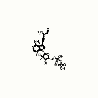 C[C@@]1(O)[C@H](O)[C@@H](COP(=O)(O)OP(=O)(O)O)O[C@H]1n1cc(C#CN(N)C=O)c2c(N)ncnc21